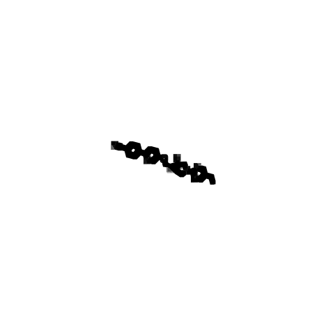 CCc1cnc(N2CC3[C@@H](COc4ccc(-c5ccc(C#N)cc5)nc4)[C@@H]3C2)nc1